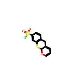 O=S(=O)(Cl)c1ccc2c(c1)SC1OC=CC=C1C2